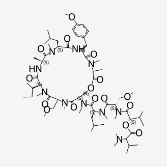 CCC(C)[C@H]1C(=O)N[C@@H](C)C(=O)N(C)[C@@H](CC(C)C)C(=O)N[C@@H](Cc2ccc(OC)cc2)C(=O)N(C)C(C)C(=O)O[C@H](C)[C@H](N(C)C(=O)[C@H](CC(C)C)N(C)C(=O)[C@H](COC)N(C)C(=O)[C@@H](OC(=O)C(C(C)C)N(C)C)C(C)C)C(=O)N(C)C(COC)C(=O)N1C